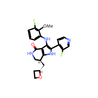 COc1c(F)cccc1Nc1c(-c2ccncc2F)[nH]c2c1C(=O)NC[C@@H]2C[C@H]1CCO1